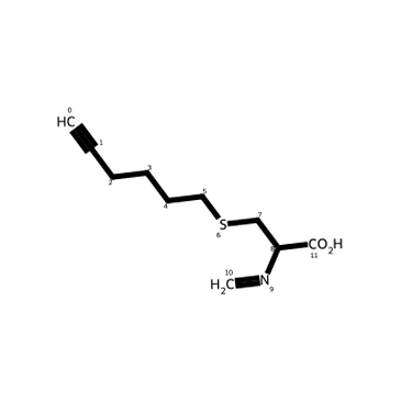 C#CCCCCSCC(N=C)C(=O)O